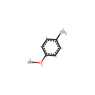 [CH2]c1ccc(ON=O)cc1